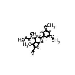 COc1cc(OC)cc(-c2nc(N(C)CCO)c3c(C)c(C#N)sc3n2)c1